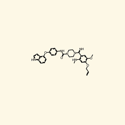 C=CCOc1cc(NC)c(C(=N)N2CCN(C(=O)Nc3ccc(Oc4cccc5[nH]ccc45)cc3)CC2)cc1OC